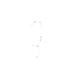 C=C(CC)/C(=C\C=C(/C)C(C)CC(C)(C)F)C(C)CC